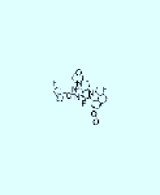 CCc1c(F)ccc2cc(OCOC)cc(-c3nc4c5c(nc(OC[C@@]67CCCN6C[C@H](F)C7)nc5c3F)N3CCCOCC3CC4)c12